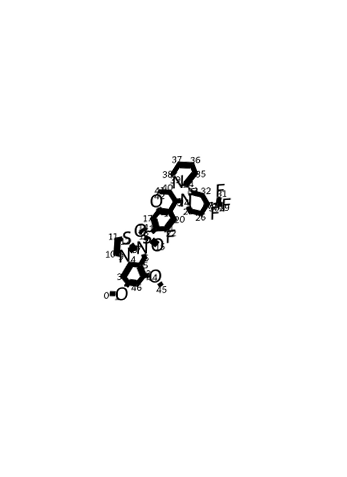 COc1ccc(CN(c2nccs2)S(=O)(=O)c2cc3c(cc2F)C(N2CC[C@@H](C(F)(F)F)C[C@H]2c2ccccn2)CCO3)c(OC)c1